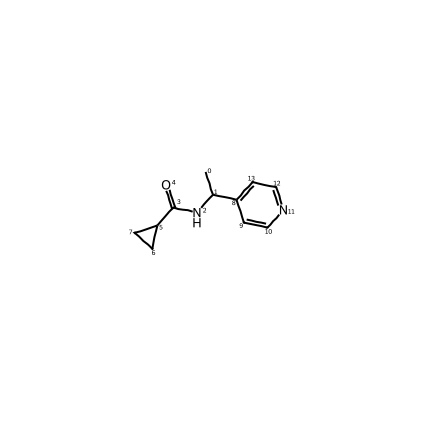 CC(NC(=O)C1CC1)c1ccncc1